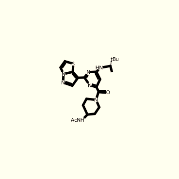 CC(=O)NC1CCN(C(=O)c2cc(N[C@@H](C)C(C)(C)C)nc(-c3cnn4ccsc34)n2)CC1